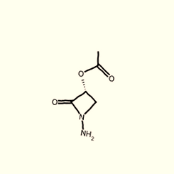 CC(=O)O[C@@H]1CN(N)C1=O